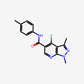 Cc1ccc(NC(=O)c2cnc3c(c(C)nn3C)c2F)cc1